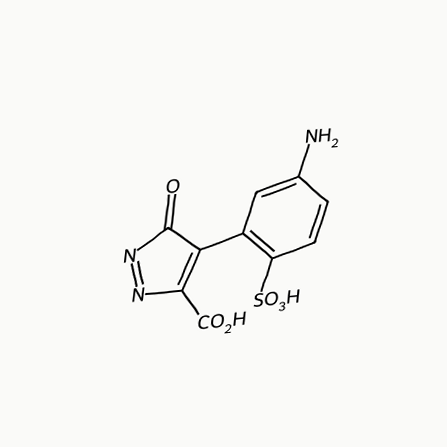 Nc1ccc(S(=O)(=O)O)c(C2=C(C(=O)O)N=NC2=O)c1